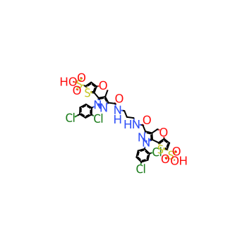 O=C(NCCCNC(=O)c1nn(-c2ccc(Cl)cc2Cl)c2c1COc1cc(S(=O)(=O)O)sc1-2)c1nn(-c2ccc(Cl)cc2Cl)c2c1COc1cc(S(=O)(=O)O)sc1-2